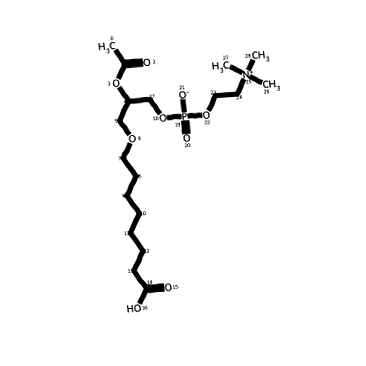 CC(=O)OC(COCCCCCCCC(=O)O)COP(=O)([O-])OCC[N+](C)(C)C